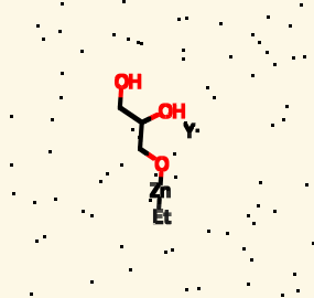 C[CH2][Zn][O]CC(O)CO.[Y]